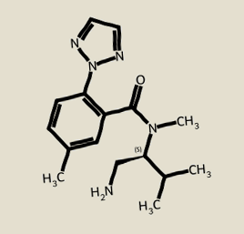 Cc1ccc(-n2nccn2)c(C(=O)N(C)[C@H](CN)C(C)C)c1